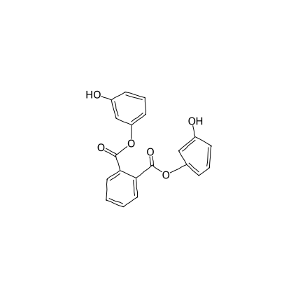 O=C(Oc1cccc(O)c1)c1ccccc1C(=O)Oc1cccc(O)c1